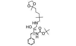 CC(C)(CCCC1(C)OCCO1)CNC[C@@H](O)[C@H](Cc1ccccc1)NC(=O)OC(C)(C)C